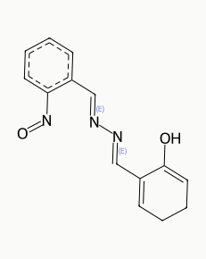 O=Nc1ccccc1/C=N/N=C/C1=CCCC=C1O